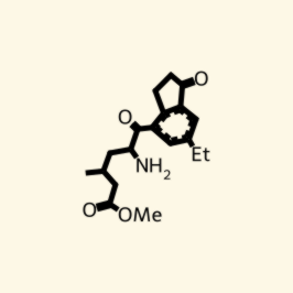 CCc1cc2c(c(C(=O)C(N)CC(C)CC(=O)OC)c1)CCC2=O